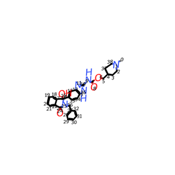 CN1CCC(COC(=O)Nc2nc3cc(C4(O)c5ccccc5C(=O)N4Cc4ccccc4)ccc3[nH]2)CC1